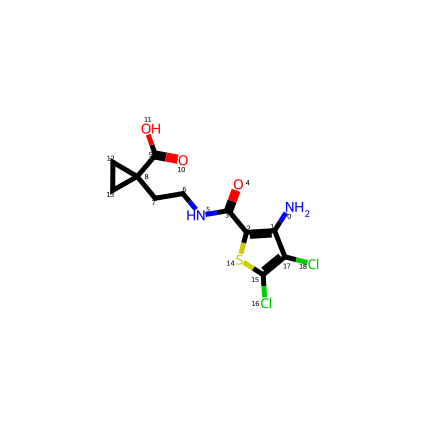 Nc1c(C(=O)NCCC2(C(=O)O)CC2)sc(Cl)c1Cl